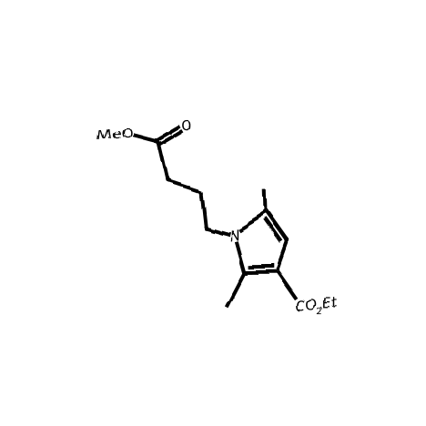 CCOC(=O)c1cc(C)n(CCCC(=O)OC)c1C